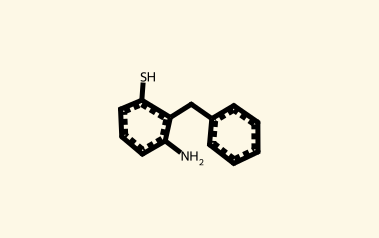 Nc1cccc(S)c1Cc1ccccc1